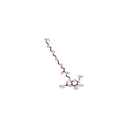 CC(=O)N[C@@H]1[C@H](OCCNC(=O)CCOCCOCCOCCOCCN)O[C@H](CO)[C@@H](O)[C@@H]1O